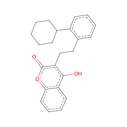 O=c1oc2ccccc2c(O)c1CCc1ccccc1C1CCCCC1